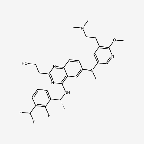 COc1ncc(N(C)c2ccc3nc(CCO)nc(N[C@H](C)c4cccc(C(F)F)c4F)c3c2)cc1CCN(C)C